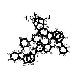 C[C@H]1CC2C(c3nc(-c4cccc(-n5c6ccccc6c6ccccc65)c4-n4c5ccccc5c5ccccc54)nc(-c4cccc(-n5c6ccccc6c6ccccc65)c4-n4c5ccccc5c5ccccc54)n3)CC3[C@@H](C1)C[C@@H]23